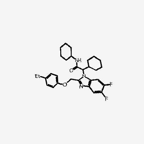 CCc1ccc(OCc2nc3cc(F)c(F)cc3n2C(C(=O)NC2CCCCC2)C2CCCCC2)cc1